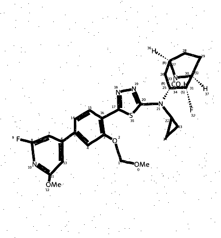 COCOc1cc(-c2cc(F)nc(OC)c2)ccc1-c1nnc(N(C2CC2)[C@@H]2C[C@H]3CC[C@@H]([C@@H]2F)N3C(=O)O)s1